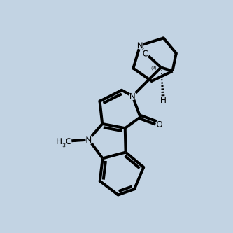 Cn1c2ccccc2c2c(=O)n([C@H]3CN4CCC3CC4)ccc21